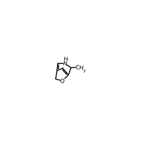 CC1NC=C2C=C1OC2